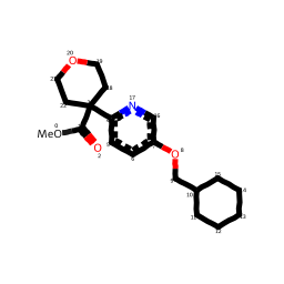 COC(=O)C1(c2ccc(OCC3CCCCC3)cn2)CCOCC1